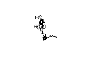 COc1ccccc1OCCOC(=O)c1c(C)cc(O)cc1O